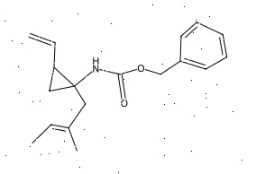 C=CC1CC1(CC(C)=CC)NC(=O)OCc1ccccc1